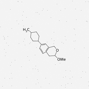 COC1Cc2ccc(C3CCC(C)CC3)cc2CO1